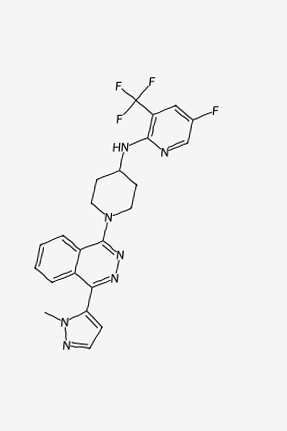 Cn1nccc1-c1nnc(N2CCC(Nc3ncc(F)cc3C(F)(F)F)CC2)c2ccccc12